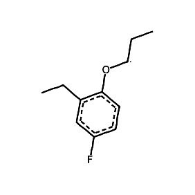 CC[CH]Oc1ccc(F)cc1CC